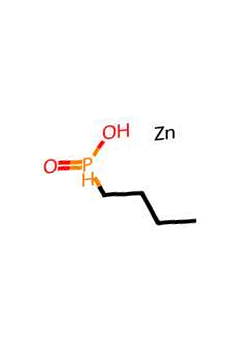 CCCC[PH](=O)O.[Zn]